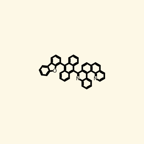 c1cnc2c(c1)ccc1ccc3c(-c4c5ccccc5c(-c5cccc6c5oc5ccccc56)c5ccccc45)nc4ccccc4c3c12